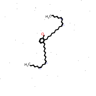 CCCCC/C=C\C/C=C\CCCCCCCCc1cccc(C=O)c1CCCCCCCC/C=C\C/C=C\CCCCC